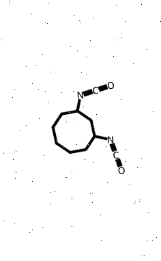 O=C=NC1CCCCCC(N=C=O)C1